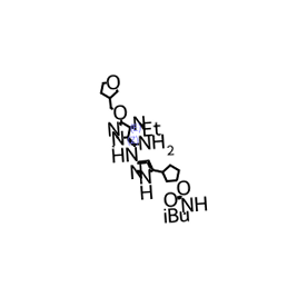 CC/N=C1/C(OCC2CCOC2)=NN(C)/C1=C(/N)Nc1cc(C2CCC(OC(=O)NC(C)CC)C2)[nH]n1